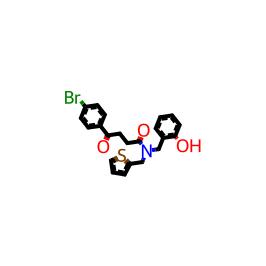 O=C(CCC(=O)N(Cc1cccs1)Cc1ccccc1O)c1ccc(Br)cc1